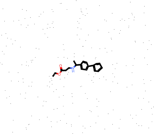 CCOC(=O)CCNC(C)c1ccc(-c2ccccc2)cc1